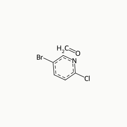 C=O.Clc1ccc(Br)cn1